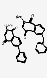 COC1=CC(=O)c2cc(-c3ccccc3)ccc2C1=O.COC1=CC(=O)c2cc(Cc3ccccc3)ccc2C1=O